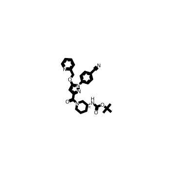 CC(C)(C)OC(=O)N[C@@H]1CCCN(C(=O)c2cc(OCc3ccccn3)n(-c3ccc(C#N)cc3)n2)C1